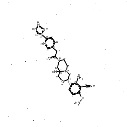 COc1ccc([C@H]2CN3CCN(C(=O)Cc4ccc(-n5cnnn5)nc4)C[C@H]3CO2)c(C)c1C#N